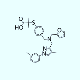 Cc1cccc(-n2cc(C)c(CN(Cc3ccc(SC(C)(C)C(=O)O)cc3)Cc3ccco3)n2)c1